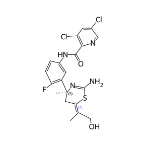 C/C(CO)=C1\C[C@@](C)(c2cc(NC(=O)c3ncc(Cl)cc3Cl)ccc2F)N=C(N)S1